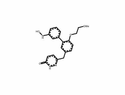 COCCOc1ccc(Cc2ccc(=O)[nH]n2)cc1-c1cccc(NO)c1